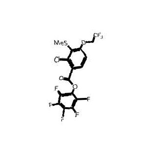 CSc1c(OCC(F)(F)F)ccc(C(=O)Oc2c(F)c(F)c(F)c(F)c2F)c1Cl